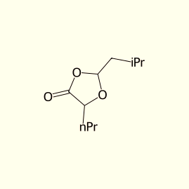 CCCC1OC(CC(C)C)OC1=O